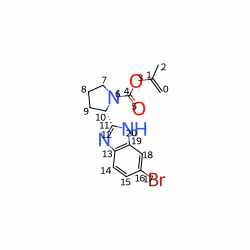 C=C(C)OC(=O)N1CCC[C@H]1c1nc2ccc(Br)cc2[nH]1